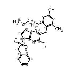 Cc1cc(O)cc(C)c1Cc1nc2c(C(C)C)cn(S(=O)(=O)Cc3ccccc3)c2cc1F